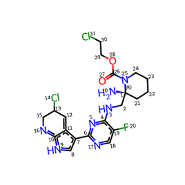 N[C@]1(CNc2nc(-c3c[nH]c4c3=CC(Cl)CN=4)ncc2F)CCCCN1C(=O)OCCCl